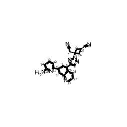 N#CC[C@]1(n2ncc(-c3cc(-c4cccc(N)n4)cc4ncccc34)n2)C[C@H](C#N)C1